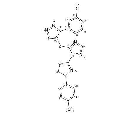 FC(F)(F)c1ccc([C@H]2COC(c3ncn4c3Cc3cnnn3-c3cc(Cl)ccc3-4)=N2)cc1